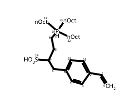 C=Cc1ccc(CC(CC[PH](CCCCCCCC)(CCCCCCCC)CCCCCCCC)S(=O)(=O)O)cc1